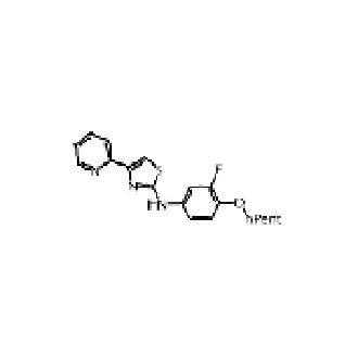 CCCCCOc1ccc(Nc2nc(-c3ccccn3)cs2)cc1F